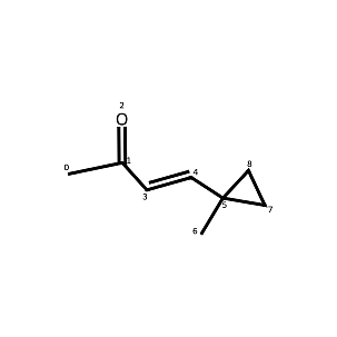 CC(=O)/C=C/C1(C)CC1